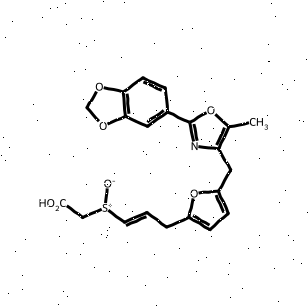 Cc1oc(-c2ccc3c(c2)OCO3)nc1Cc1ccc(CC=C[S+]([O-])CC(=O)O)o1